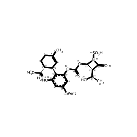 C=C(C)[C@@H]1CCC(C)=C[C@H]1c1c(O)cc(CCCCC)cc1OC(=S)OC1[C@@H]([C@@H](C)O)C(=O)N1S(=O)(=O)O